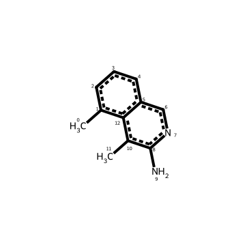 Cc1cccc2cnc(N)c(C)c12